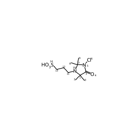 CC1(C)C(=O)N(Cl)C(C)(C)N1CCCS(=O)(=O)O